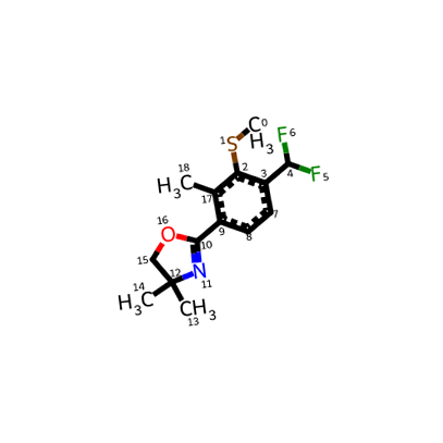 CSc1c(C(F)F)ccc(C2=NC(C)(C)CO2)c1C